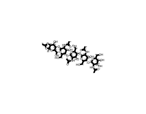 CC(=O)NC1[C@H](O[C@@H]2C(CO)O[C@@H](O[C@@H]3C(CO)O[C@@H](O[C@@H]4C(CO)O[C@@H](O[C@@H]5C(CO)O[C@@H]6OC(C)=NC6[C@H]5O)C(NC(C)=O)[C@H]4O)C(NC(C)=O)[C@H]3O)C(NC(C)=O)[C@H]2O)OC(CO)[C@@H](O)[C@@H]1O